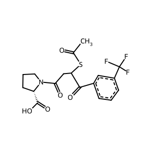 CC(=O)SC(CC(=O)N1CCC[C@H]1C(=O)O)C(=O)c1cccc(C(F)(F)F)c1